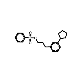 O=S(=O)(OCCCc1cccc(C2CCCC2)c1)c1ccccc1